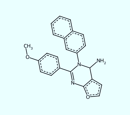 COc1ccc(C2=Nc3occc3C(N)N2c2ccc3ccccc3c2)cc1